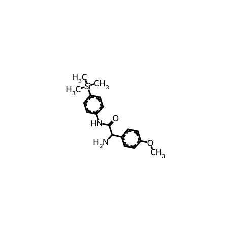 COc1ccc(C(N)C(=O)Nc2ccc([Si](C)(C)C)cc2)cc1